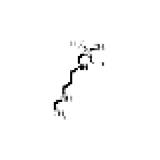 CCNCCCNC[Si](C)(C)C